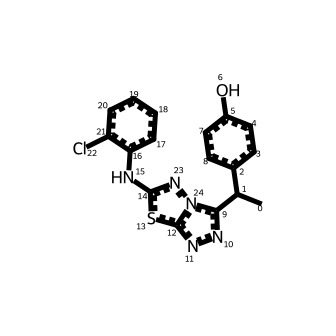 CC(c1ccc(O)cc1)c1nnc2sc(Nc3ccccc3Cl)nn12